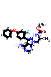 C[C@H](Cn1nc(-c2ccc(Oc3ccccc3)cc2F)c2c(N)ncnc21)NC(=O)OC(C)(C)C